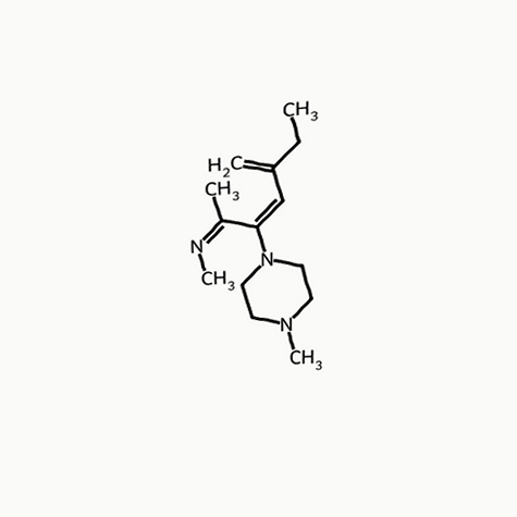 C=C(/C=C(\C(C)=N/C)N1CCN(C)CC1)CC